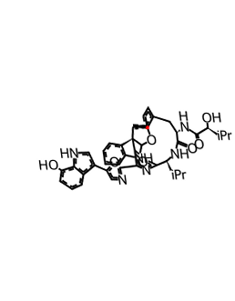 CC(C)[C@H](O)C(=O)N[C@H]1Cc2ccc3c(c2)[C@@]2(c4ccccc4NC2O3)c2oc(nc2-c2ncc(-c3c[nH]c4c(O)cccc34)o2)[C@H](C(C)C)NC1=O